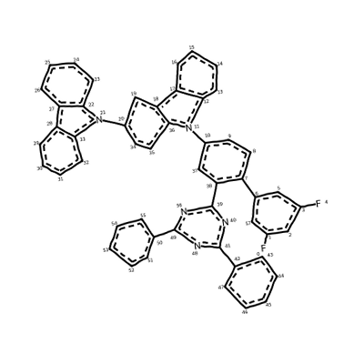 Fc1cc(F)cc(-c2ccc(-n3c4ccccc4c4cc(-n5c6ccccc6c6ccccc65)ccc43)cc2-c2nc(-c3ccccc3)nc(-c3ccccc3)n2)c1